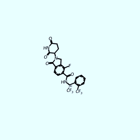 O=C1CCC(N2Cc3c(ccc(C(=O)N[C@H](c4ccccc4C(F)(F)F)C(F)(F)F)c3F)C2=O)C(=O)N1